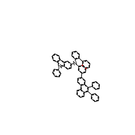 c1ccc(-c2ccccc2N(c2cccc(-c3ccc4c(c3)c(-c3ccccc3)c(-c3ccccc3)c3ccccc34)c2)c2ccc3c(c2)c2ccccc2n3-c2ccccc2)cc1